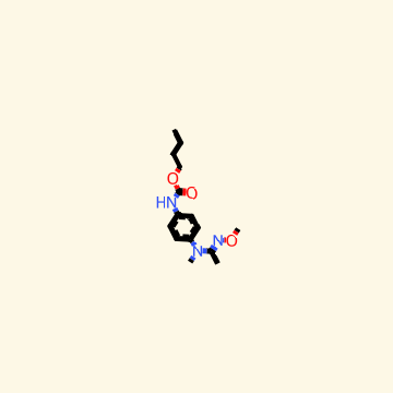 CCCCOC(=O)Nc1ccc(N(C)C(C)=NOC)cc1